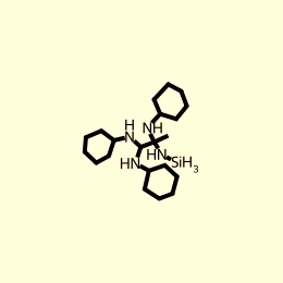 CC(N[SiH3])(NC1CCCCC1)C(NC1CCCCC1)NC1CCCCC1